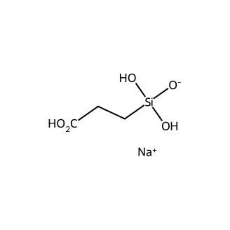 O=C(O)CC[Si]([O-])(O)O.[Na+]